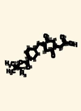 CC(C)(C)OC(=O)N1CCC(CN2CC(=O)N(CC(=O)O)CC2=O)CC1